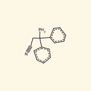 N#CCC(P)(c1ccccc1)c1ccccc1